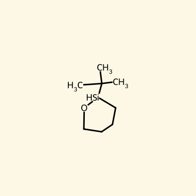 CC(C)(C)[SiH]1CCCCO1